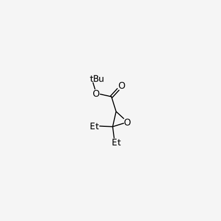 CCC1(CC)OC1C(=O)OC(C)(C)C